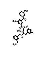 CCc1cccc(CNC(Cc2cc(F)cc(F)c2)[C@H](O)CNC(=O)c2cc(C)cc(C(=O)N3CCCC(O)C3)c2)c1